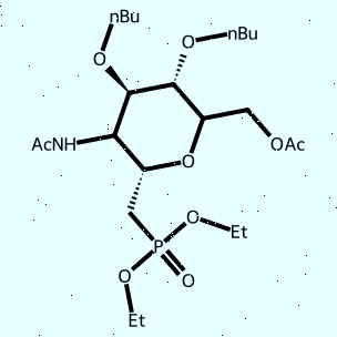 CCCCO[C@@H]1C(COC(C)=O)O[C@H](CP(=O)(OCC)OCC)C(NC(C)=O)[C@H]1OCCCC